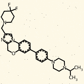 CC(C)N1CCN(c2ccc(-c3ccc4c(c3)OCc3nc(CN5CCC(F)(F)CC5)cn3-4)cc2)CC1